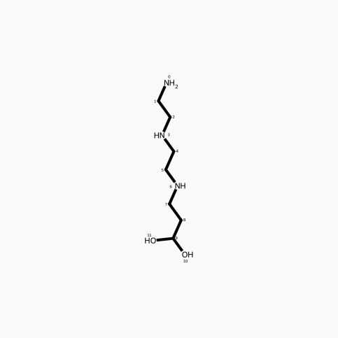 NCCNCCNCCC(O)O